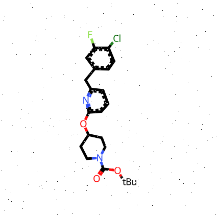 CC(C)(C)OC(=O)N1CCC(Oc2cccc(Cc3ccc(Cl)c(F)c3)n2)CC1